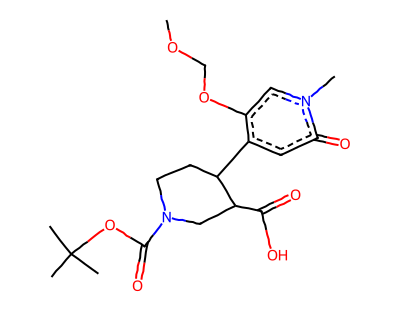 COCOc1cn(C)c(=O)cc1C1CCN(C(=O)OC(C)(C)C)CC1C(=O)O